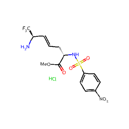 COC(=O)[C@H](C/C=C/[C@@H](N)C(F)(F)F)NS(=O)(=O)c1ccc([N+](=O)[O-])cc1.Cl